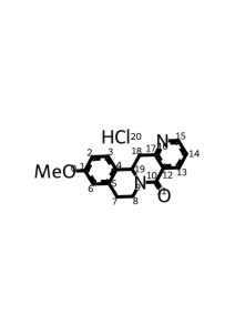 COc1ccc2c(c1)CCN1C(=O)c3cccnc3CC21.Cl